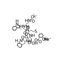 CSCC[C@H](NC(=O)[C@H](Cc1c[nH]c2ccccc12)NC(=O)CCNC(=O)OC(C)(C)C)C(=O)N[C@@H](CC(=O)O)C(=O)N[C@@H](Cc1ccccc1)C(N)=O.O=C([O-])c1ccccc1O.[Na+]